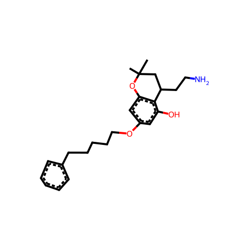 CC1(C)CC(CCN)c2c(O)cc(OCCCCCc3ccccc3)cc2O1